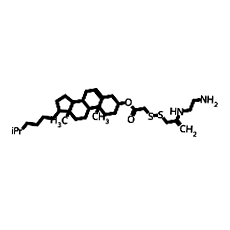 C=C(CSSCC(=O)OC1CCC2(C)C(=CCC3C2CCC2(C)C(CCCCC(C)C)CCC32)C1)NCCN